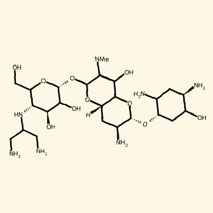 CNC1C(O[C@H]2OC(CO)[C@@H](NC(CN)CN)[C@H](O)C2O)O[C@H]2CC(N)[C@@H](O[C@H]3CC(O)[C@H](N)CC3N)OC2C1O